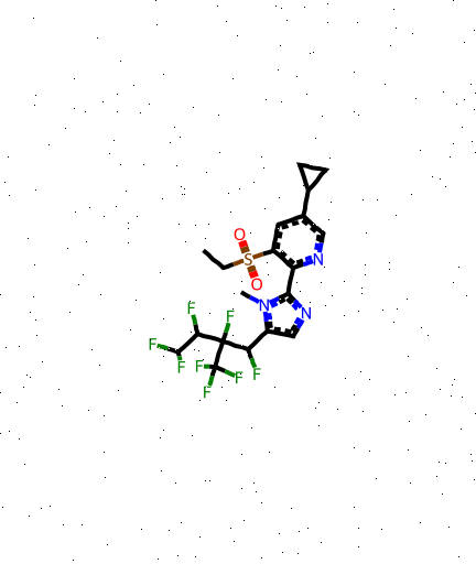 CCS(=O)(=O)c1cc(C2CC2)cnc1-c1ncc(C(F)C(F)(C(F)C(F)F)C(F)(F)F)n1C